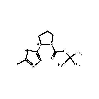 CC(C)(C)OC(=O)N1CCC[C@H]1c1cnc(I)[nH]1